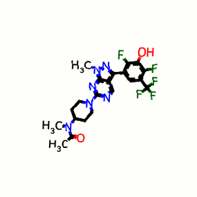 CC(=O)N(C)C1CCN(c2ncc3c(-c4cc(C(F)(F)F)c(F)c(O)c4F)nn(C)c3n2)CC1